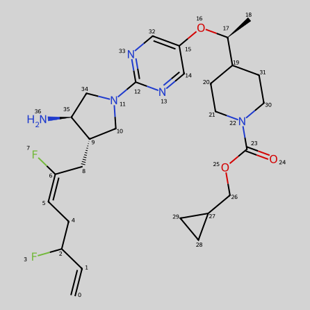 C=CC(F)C/C=C(/F)C[C@H]1CN(c2ncc(O[C@@H](C)C3CCN(C(=O)OCC4CC4)CC3)cn2)C[C@@H]1N